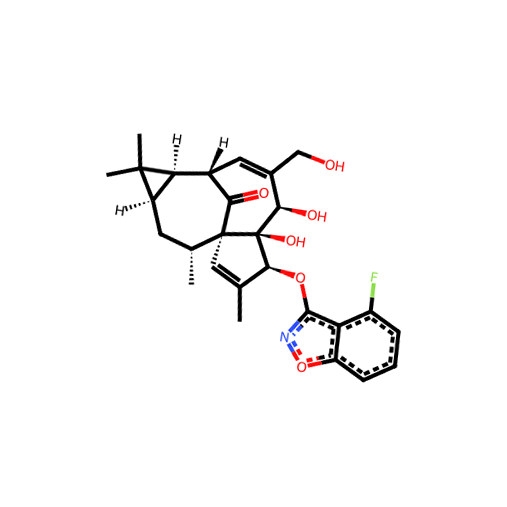 CC1=C[C@]23C(=O)[C@@H](C=C(CO)[C@@H](O)[C@]2(O)[C@H]1Oc1noc2cccc(F)c12)[C@H]1[C@@H](C[C@H]3C)C1(C)C